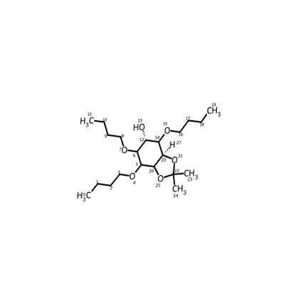 CCCCOC1C(OCCCC)[C@H](O)C(OCCCC)[C@H]2OC(C)(C)OC12